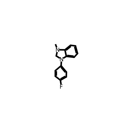 CN1CN(c2ccc(F)cc2)c2ccccc21